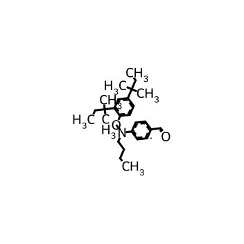 CCCCN(Oc1ccc(C(C)(C)CC)cc1C(C)(C)CC)c1c[c]c(C=O)cc1